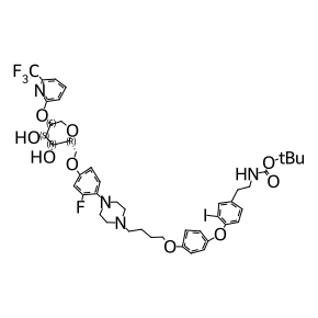 CC(C)(C)OC(=O)NCCc1ccc(Oc2ccc(OCCCCN3CCN(c4ccc(OC[C@H]5OC[C@H](Oc6cccc(C(F)(F)F)n6)[C@@H](O)[C@H]5O)cc4F)CC3)cc2)c(I)c1